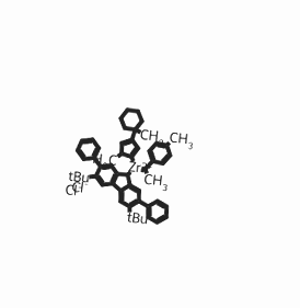 C/[C](c1ccc(C)cc1)=[Zr+2](/[C]1=CC(C2(C)CCCCC2)=CC1C)[CH]1c2cc(-c3ccccc3)c(C(C)(C)C)cc2-c2cc(C(C)(C)C)c(-c3ccccc3)cc21.[Cl-].[Cl-]